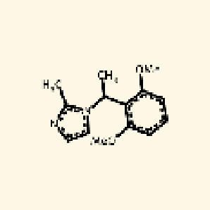 COc1cccc(OC)c1C(C)n1ccnc1C